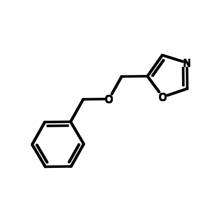 c1ccc(COCc2cnco2)cc1